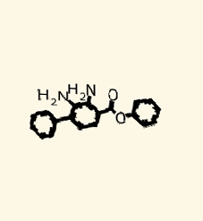 Nc1c(C(=O)Oc2ccccc2)ccc(-c2ccccc2)c1N